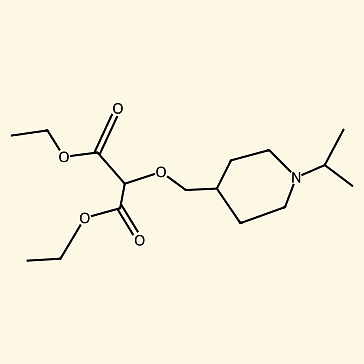 CCOC(=O)C(OCC1CCN(C(C)C)CC1)C(=O)OCC